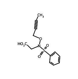 CC#CCON(CC(=O)O)S(=O)(=O)c1ccccc1